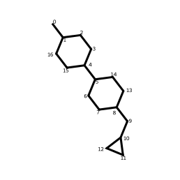 CC1CCC(C2CCC(CC3CC3)CC2)CC1